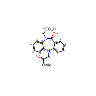 COC(=O)CN1c2ccccc2C(=O)N(CC(=O)O)c2ccccc21